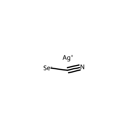 N#C[Se-].[Ag+]